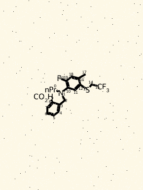 CCCN(Cc1ccccc1C(=O)O)c1cc(SCC(F)(F)F)c(C)cc1F